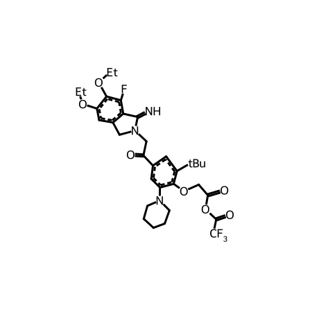 CCOc1cc2c(c(F)c1OCC)C(=N)N(CC(=O)c1cc(N3CCCCC3)c(OCC(=O)OC(=O)C(F)(F)F)c(C(C)(C)C)c1)C2